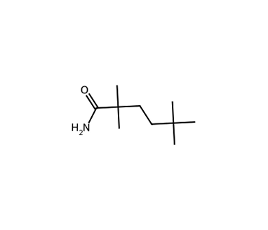 CC(C)(C)CCC(C)(C)C(N)=O